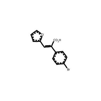 O=C(O)C(=Cc1ccco1)c1ccc(Br)cc1